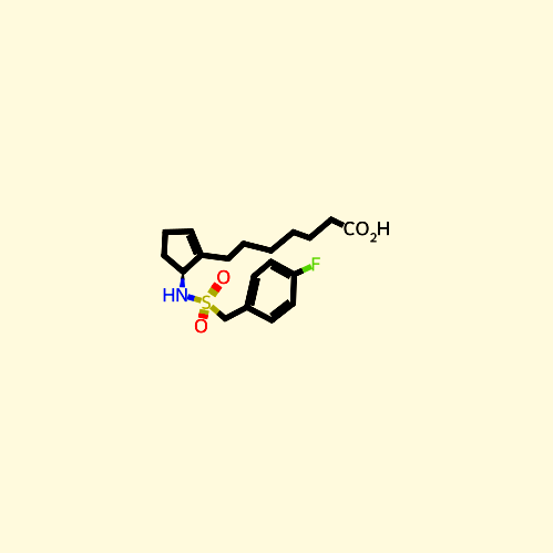 O=C(O)CCCCCCC1=CCC[C@@H]1NS(=O)(=O)Cc1ccc(F)cc1